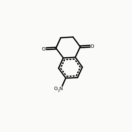 O=C1CCC(=O)c2cc([N+](=O)[O-])ccc21